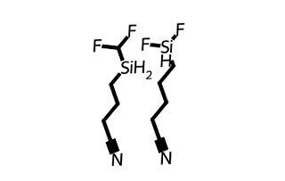 N#CCCCC[SiH](F)F.N#CCCC[SiH2]C(F)F